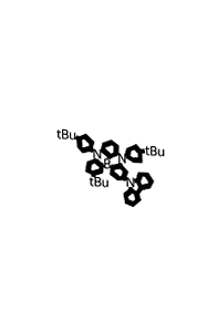 CC(C)(C)c1ccc(N2c3ccc(C(C)(C)C)cc3B3c4ccc(-n5c6ccccc6c6ccccc65)cc4N(c4ccc(C(C)(C)C)cc4)c4cccc2c43)cc1